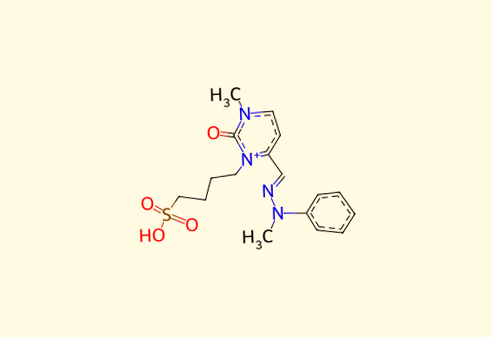 CN(N=Cc1ccn(C)c(=O)[n+]1CCCCS(=O)(=O)O)c1ccccc1